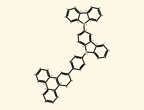 C1=C(c2ccc(-n3c4ccccc4c4cc(-n5c6ccccc6c6ccccc65)ccc43)cc2)CCc2c1c1ccccc1c1ccccc21